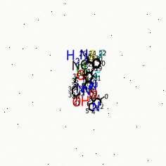 C[C@H]1CN2CCCC2(COc2nc3c4c(c(Cl)c(-c5ccc(F)c6sc(N)c(C#N)c56)c(F)c4n2)OCCC2CCC(O)CN32)C1